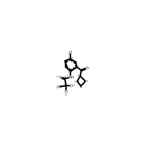 O=C(c1cc(Cl)ccc1NC(=O)C(Cl)(Cl)Cl)C1CCC1